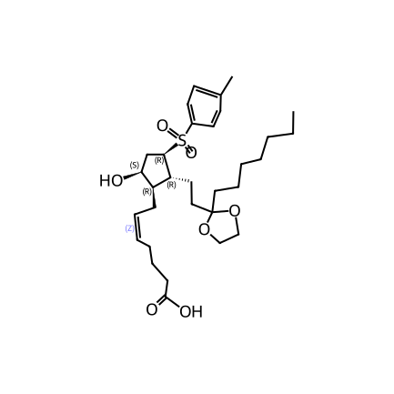 CCCCCCCC1(CC[C@@H]2[C@@H](C/C=C\CCCC(=O)O)[C@@H](O)C[C@H]2S(=O)(=O)c2ccc(C)cc2)OCCO1